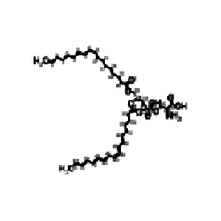 CCCCCCCC/C=C\CCCCCCCC(=O)OC[C@H](COP(=O)(O)OCC(N)C(=O)O)OC(=O)CCCCCCC/C=C\CCCCCCCC